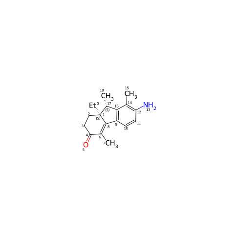 CC[C@@]12CCC(=O)C(C)=C1c1ccc(N)c(C)c1[C@H]2C